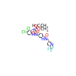 CC(C)(C)OC(=O)N(Cc1cccc(Cl)c1Cl)S(=O)(=O)Nc1ccc(C(=O)NCc2ccc(C(F)(F)F)nc2)cc1